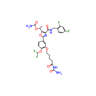 CC(OC(N)=O)c1oc(-c2ccc(OC(F)F)c(OCCCCC(=O)NC(N)=O)c2)nc1C(=O)NCc1ccc(F)cc1F